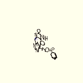 O=C1NC(=O)/C(=C\c2ncnc(N3CCN(C(=O)c4ccccc4)CC3)n2)S1